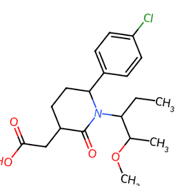 CCC(C(C)OC)N1C(=O)C(CC(=O)O)CCC1c1ccc(Cl)cc1